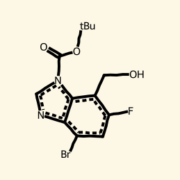 CC(C)(C)OC(=O)n1cnc2c(Br)cc(F)c(CO)c21